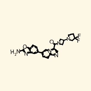 Nc1nc2cc(-c3ccc4ncc(C(=O)N5CC(N6CCC(F)(F)C6)C5)n4c3)ccc2o1